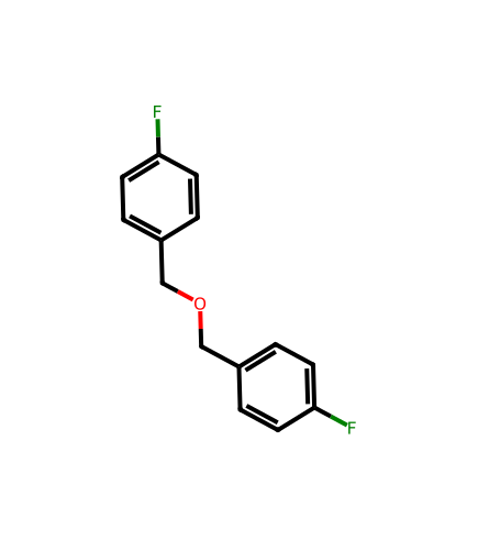 Fc1ccc(COCc2ccc(F)cc2)cc1